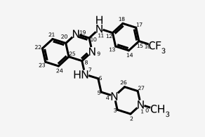 CN1CCN(CCNc2nc(Nc3ccc(C(F)(F)F)cc3)nc3ccccc23)CC1